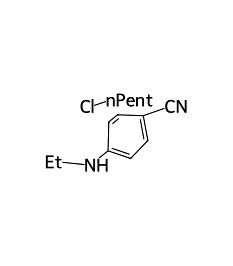 CCCCCCl.CCNc1ccc(C#N)cc1